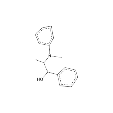 CC(C(O)c1ccccc1)N(C)c1ccccc1